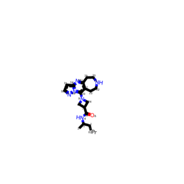 CC(C)CC(C)NC(=O)C1CN(c2c3c(nc4ccnn24)CCNCC3)C1